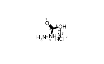 Cl.N.N.NC(=O)O